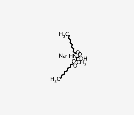 CCCCCCCCCC(=O)N[C@H](C(=O)O)[C@@H](C)OC(=O)CCCCCCCCC.[Na]